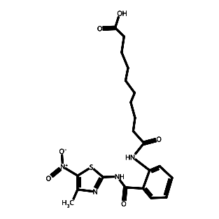 Cc1nc(NC(=O)c2ccccc2NC(=O)CCCCCCCCC(=O)O)sc1[N+](=O)[O-]